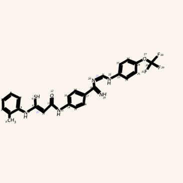 Cc1ccccc1N/C(S)=C/C(=O)Nc1ccc(C(=N)/N=C\Nc2ccc(OC(F)(F)F)cc2)cc1